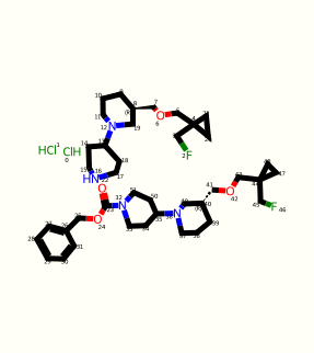 Cl.Cl.FCC1(COC[C@@H]2CCCN(C3CCNCC3)C2)CC1.O=C(OCc1ccccc1)N1CCC(N2CCC[C@@H](COCC3(CF)CC3)C2)CC1